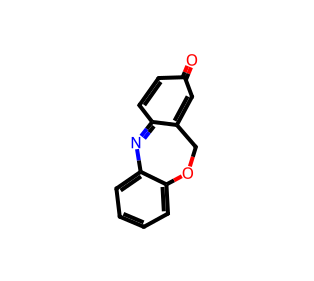 O=C1C=CC2=Nc3ccccc3OCC2=C1